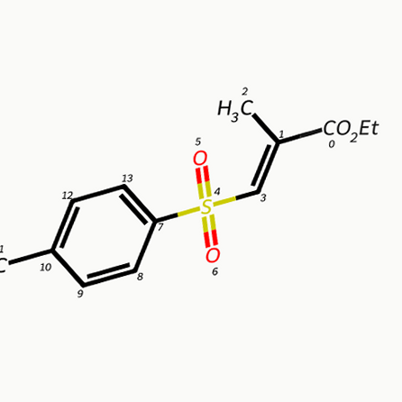 CCOC(=O)C(C)=CS(=O)(=O)c1ccc(C)cc1